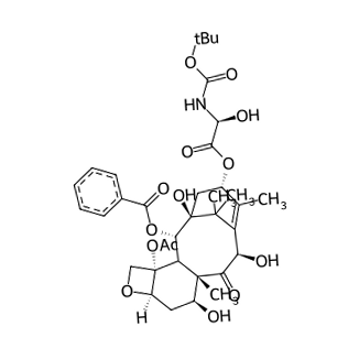 CC(=O)O[C@@]12CO[C@@H]1C[C@H](O)[C@@]1(C)C(=O)[C@H](O)C3=C(C)[C@@H](OC(=O)[C@H](O)NC(=O)OC(C)(C)C)C[C@@](O)([C@@H](OC(=O)c4ccccc4)C12)C3(C)C